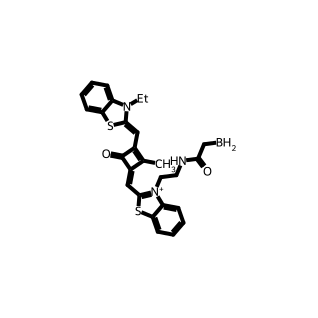 BCC(=O)NCC[n+]1c(/C=C2/C(=O)C(/C=C3\Sc4ccccc4N3CC)=C2C)sc2ccccc21